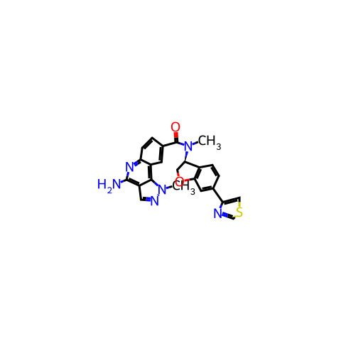 CN(C(=O)c1ccc2nc(N)c3cnn(C)c3c2c1)[C@@H]1COc2cc(-c3cscn3)ccc21